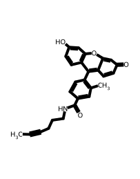 CC#CCCCNC(=O)c1ccc(-c2c3ccc(=O)cc-3oc3cc(O)ccc23)c(C)c1